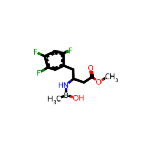 COC(=O)CC(Cc1cc(F)c(F)cc1F)NB(C)O